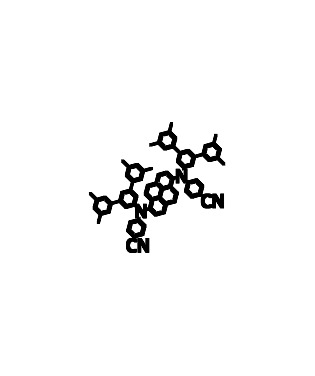 Cc1cc(C)cc(-c2cc(-c3cc(C)cc(C)c3)cc(N(c3ccc(C#N)cc3)c3ccc4ccc5c(N(c6ccc(C#N)cc6)c6cc(-c7cc(C)cc(C)c7)cc(-c7cc(C)cc(C)c7)c6)ccc6ccc3c4c65)c2)c1